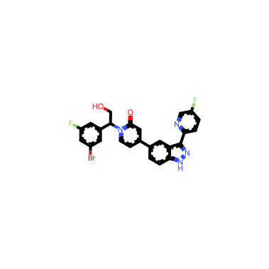 O=c1cc(-c2ccc3[nH]nc(-c4ccc(F)cn4)c3c2)ccn1C(CO)c1cc(F)cc(Br)c1